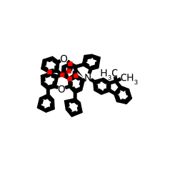 CC1(C)c2ccccc2-c2ccc(N(c3cc(-c4ccccc4)c4c(c3)C3(c5ccccc5Oc5ccccc53)c3cccc(-c5ccccc5)c3O4)c3ccccc3-c3ccccc3)cc21